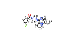 O=C(c1cccc(F)c1)N1CCN(/C(=N/C2(C(=O)O)CC2)c2ccccn2)CC1